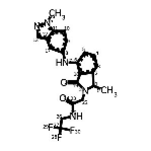 CC1c2cccc(Nc3ccc4c(cnn4C)c3)c2C(=O)N1CC(=O)NCC(F)(F)F